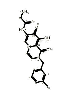 CCC(=O)Nc1cn2ccn(Cc3cccc(I)c3)c(=O)c2c(O)c1=O